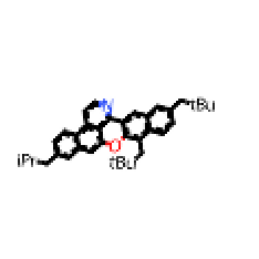 CC(C)Cc1ccc2c(c1)cc1c3c(nccc32)-c2cc3cc(CC(C)(C)C)ccc3c(CC(C)(C)C)c2O1